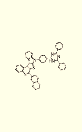 c1ccc(C2=NC(c3ccc(-n4c5ccccc5c5c6c(sc54)c(-c4ccc5ccccc5c4)nc4ccccc46)cc3)NC(c3ccccc3)=N2)cc1